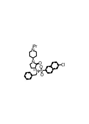 CC(C)N1CCC(N2CC[C@H](N(Cc3ccccc3)S(=O)(=O)c3ccc4cc(Cl)ccc4c3)C2=O)CC1